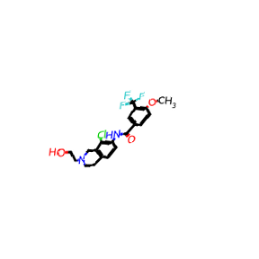 COc1ccc(C(=O)Nc2ccc3c(c2Cl)CN(CCO)CC3)cc1C(F)(F)F